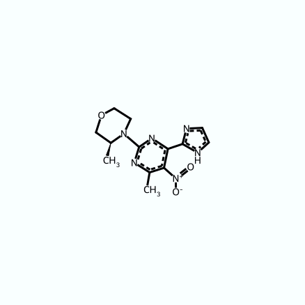 Cc1nc(N2CCOC[C@@H]2C)nc(-c2ncc[nH]2)c1[N+](=O)[O-]